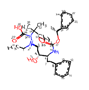 CCN(C[C@@H](O)[C@H](Cc1ccccc1)NC(=O)OCc1ccccc1)N(C(=O)O)C(C)(C)C